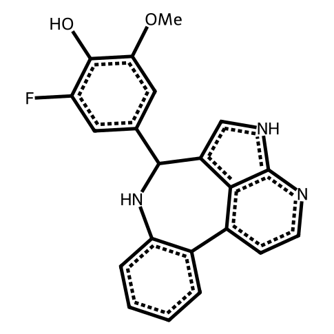 COc1cc(C2Nc3ccccc3-c3ccnc4[nH]cc2c34)cc(F)c1O